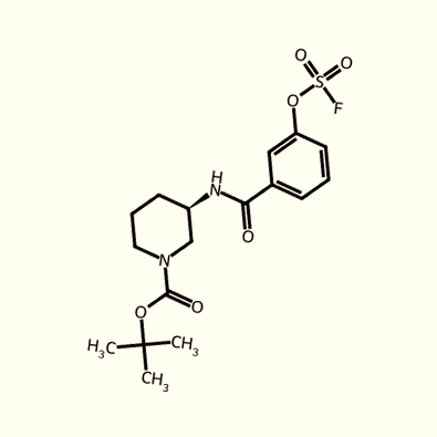 CC(C)(C)OC(=O)N1CCC[C@@H](NC(=O)c2cccc(OS(=O)(=O)F)c2)C1